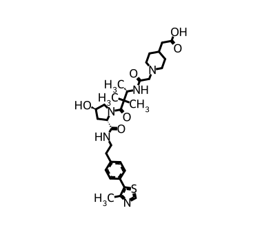 Cc1ncsc1-c1ccc(CCNC(=O)[C@@H]2C[C@@H](O)CN2C(=O)C(C)(C)[C@H](C)NC(=O)CN2CCC(CC(=O)O)CC2)cc1